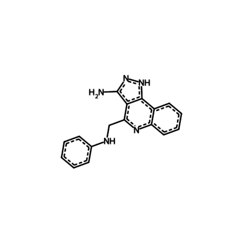 Nc1n[nH]c2c1c(CNc1ccccc1)nc1ccccc12